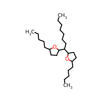 CCCCCCCC(C1CCC(CCCCC)O1)C1CCC(CCCCC)O1